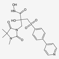 CN1C(=O)N(CC(O)(CS(=O)(=O)c2ccc(-c3ccncc3)cc2)C(=O)NO)C(=O)C1(C)C